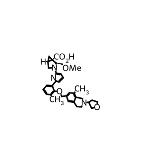 COC[C@H]1N(c2cccc(-c3cccc(C)c3OCc3cc(C)c4c(c3)CCN(C3CCOC3)C4)n2)C[C@@H]2C[C@@]21C(=O)O